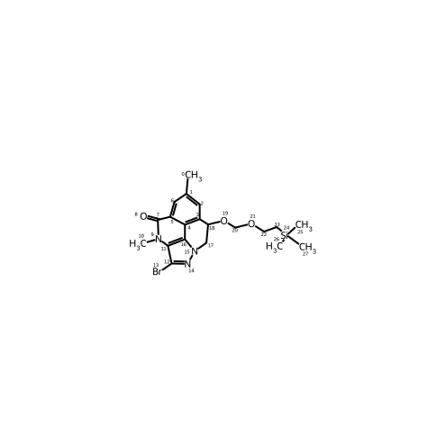 Cc1cc2c3c(c1)c(=O)n(C)c1c(Br)nn(c31)CC2OCOCC[Si](C)(C)C